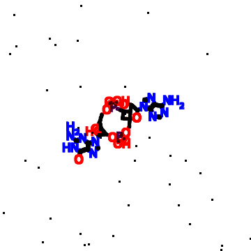 Nc1nc2c(ncn2C2OC3COP(=O)(O)[C@]45CC6(COP(=O)(O)OC2C3O)OC(n2cnc3c(N)ncnc32)C(O4)C65)c(=O)[nH]1